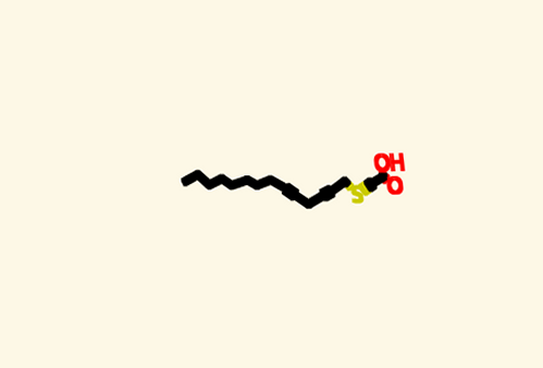 CCCCCCCCC#CCC#CCS#CC(=O)O